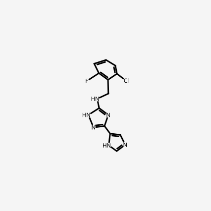 Fc1cccc(Cl)c1CNc1nc(-c2cnc[nH]2)n[nH]1